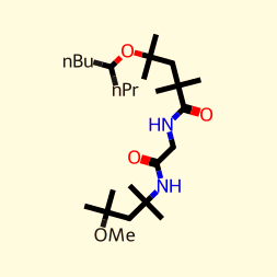 CCCCC(CCC)OC(C)(C)CC(C)(C)C(=O)NCC(=O)NC(C)(C)CC(C)(C)OC